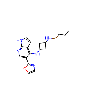 CCCSN[C@H]1C[C@@H](Nc2c(-c3ncco3)cnc3[nH]ccc23)C1